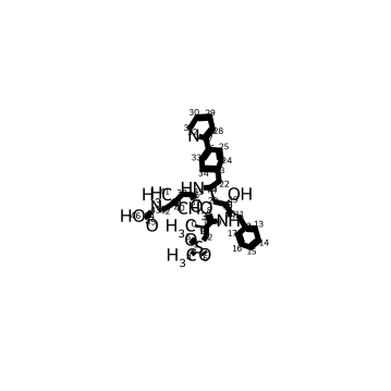 C[C@H](CS(C)(=O)=O)C(=O)N[C@@H](Cc1ccccc1)[C@@H](O)C[C@H](Cc1ccc(-c2ccccn2)cc1)NC(=O)CC(C)(C)CNC(=O)O